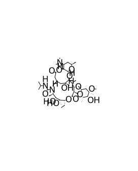 CC[C@H]1OC(=O)[C@H](C)[C@@H](O[C@H]2C[C@@](C)(OC)[C@@H](O)[C@H](C)O2)[C@H](C)[C@H]2O[C@@H]3O[C@H](C)C[C@H](N(C)C)[C@H]3OC(=O)C[C@@H](CN(C(=O)NC(C)C)[C@H](C)[C@@H](O)[C@]1(C)O)C[C@@]2(C)O